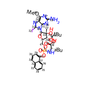 CCC(C)[C@H](NP(=O)(OC[C@H]1OC(n2c(I)nc3c(OC)nc(N)nc32)[C@](C)(O)[C@@H]1O)Oc1cccc2ccccc12)C(=O)OCC(C)(C)C